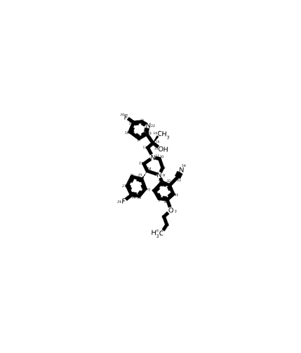 CCCOc1ccc(N2CCN(C[C@@](C)(O)c3ccc(F)cn3)C[C@H]2c2ccc(F)cc2)c(C#N)c1